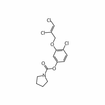 O=C(Oc1ccc(Cl)c(OCC(Cl)=CCl)c1)N1CCCC1